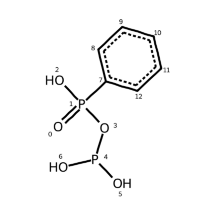 O=P(O)(OP(O)O)c1ccccc1